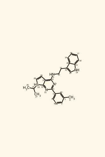 Cc1cncc(-c2nc(NCCc3c[nH]c4ccccc34)c3c(n2)[SH](C(C)C)C=C3)c1